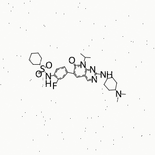 CC(C)n1c(=O)c(-c2ccc(NS(=O)(=O)C3CCCCC3)c(F)c2)cc2cnc(NC3CCC(N(C)C)CC3)nc21